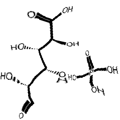 O=C[C@H](O)[C@@H](O)[C@H](O)[C@H](O)C(=O)O.O=P(O)(O)O